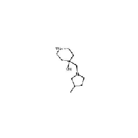 CC1CCN(CC2(O)CCNCC2)C1